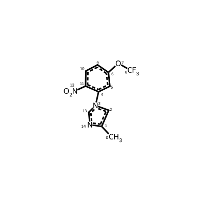 Cc1cn(-c2cc(OC(F)(F)F)ccc2[N+](=O)[O-])cn1